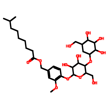 COc1cc(COC(=O)CCCCCCC(C)C)ccc1OC1OC(CO)C(OC2CC(CO)C(O)C(O)C2O)C(O)C1O